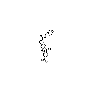 O=C(O)c1ccc(C(O)c2cc3cc(C(=O)OCN4CCOCC4)ccc3cc2O)cc1